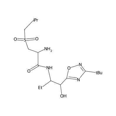 CCC(NC(=O)C(N)CS(=O)(=O)CC(C)C)C(O)c1nc(C(C)(C)C)no1